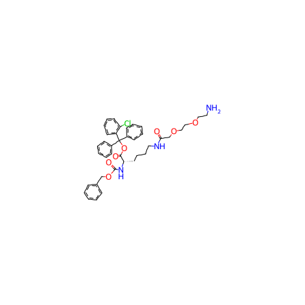 NCCOCCOCC(=O)NCCCC[C@H](NC(=O)OCc1ccccc1)C(=O)OC(c1ccccc1)(c1ccccc1)c1ccccc1Cl